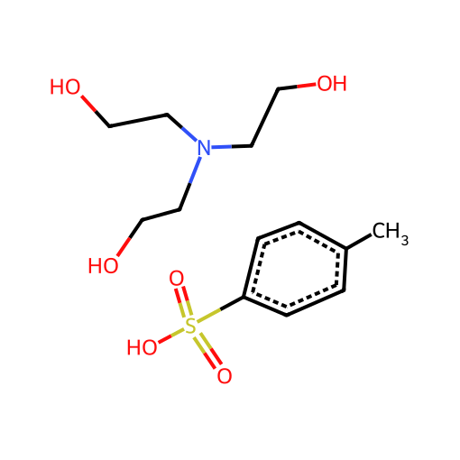 Cc1ccc(S(=O)(=O)O)cc1.OCCN(CCO)CCO